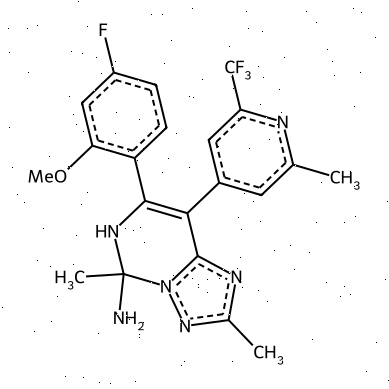 COc1cc(F)ccc1C1=C(c2cc(C)nc(C(F)(F)F)c2)c2nc(C)nn2C(C)(N)N1